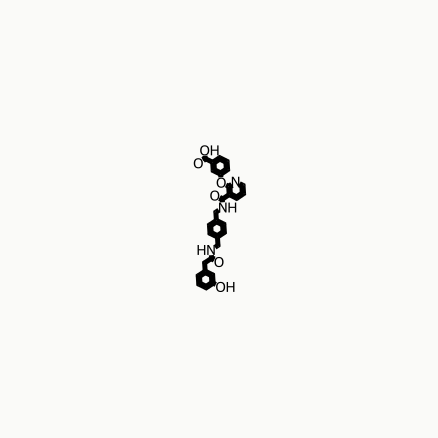 O=C(Cc1cccc(O)c1)NCc1ccc(CNC(=O)c2cccnc2Oc2cccc(C(=O)O)c2)cc1